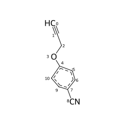 C#CCOc1[c]cc(C#N)cc1